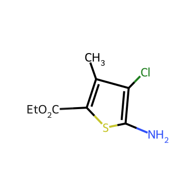 CCOC(=O)c1sc(N)c(Cl)c1C